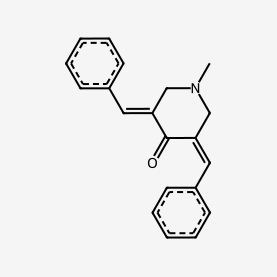 CN1CC(=Cc2ccccc2)C(=O)C(=Cc2ccccc2)C1